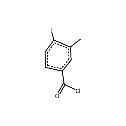 Cc1cc(C(=O)Cl)ccc1I